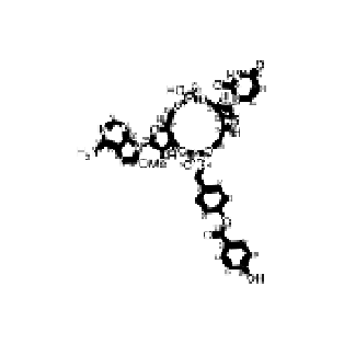 CO[C@@H]1[C@@H]2OP(=O)(SCc3ccc(OC(=O)c4ccc(O)cc4)cc3)OC[C@H]3O[C@@H](n4ccc(=O)[nH]c4=O)[C@H](OP(=O)(O)OC[C@H]2O[C@H]1n1cnc2c(N)ncnc21)[C@@H]3F